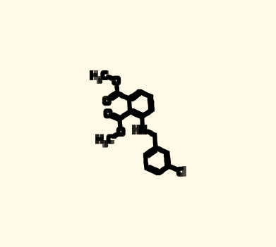 COC(=O)c1cccc(NCc2cccc(Cl)c2)c1C(=O)OC